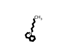 CCCCCCCN1CCCc2ccccc21